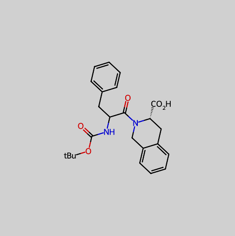 CC(C)(C)OC(=O)NC(Cc1ccccc1)C(=O)N1Cc2ccccc2C[C@H]1C(=O)O